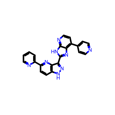 c1ccc(-c2ccc3[nH]nc(-c4nc5c(-c6ccncc6)ccnc5[nH]4)c3n2)nc1